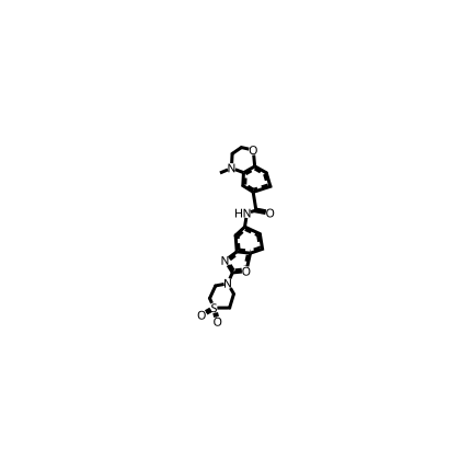 CN1CCOc2ccc(C(=O)Nc3ccc4oc(N5CCS(=O)(=O)CC5)nc4c3)cc21